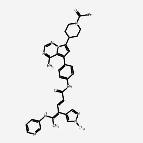 C/C(Nc1cccnc1)=C(/C=C/C(=O)Nc1ccc(-c2cc(C3CCN(C(=O)C(C)C)CC3)n3ncnc(N)c23)cc1)c1cnn(C)c1